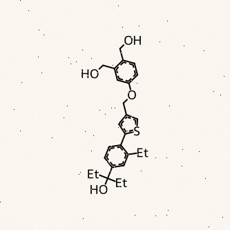 CCc1cc(C(O)(CC)CC)ccc1-c1cc(COc2ccc(CO)c(CO)c2)cs1